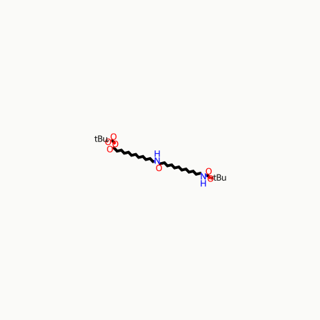 CC(C)(C)OC(=O)NCCCCCCCCCCCC(=O)NCCCCCCCCCCCC(=O)OC(=O)OC(C)(C)C